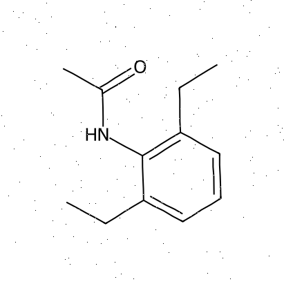 CCc1cccc(CC)c1NC(C)=O